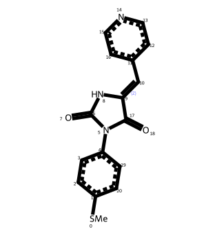 CSc1ccc(N2C(=O)N/C(=C\c3ccncc3)C2=O)cc1